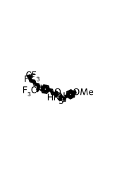 COc1ccc(C2CSC(NC(=O)CCc3ccc(N(CCCCC(F)(F)C(F)(F)F)CC(F)(F)F)cc3)=N2)cc1